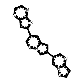 c1cnc2sc(-c3cnn4cc(-c5cnc6ccnn6c5)cc4c3)cc2n1